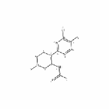 CC(=O)NC1CN(C)CCN1c1ncc(C)c(Cl)n1